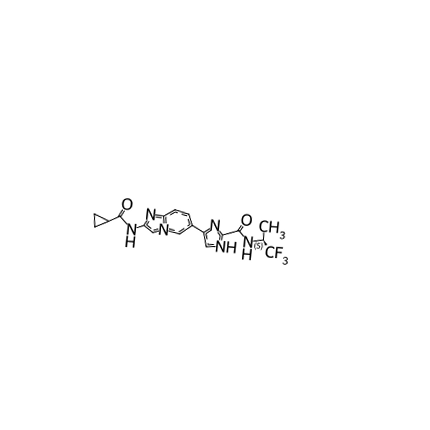 C[C@H](NC(=O)c1nc(-c2ccc3nc(NC(=O)C4CC4)cn3c2)c[nH]1)C(F)(F)F